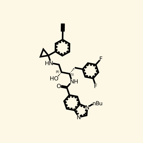 C#Cc1cccc(C2(NC[C@@H](O)[C@H](Cc3cc(F)cc(F)c3)NC(=O)c3ccc4ncn(CCCC)c4c3)CC2)c1